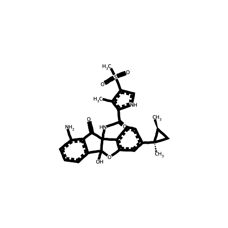 Cc1c(S(C)(=O)=O)c[nH]c1C(=O)NC12C(=O)c3c(N)cccc3C1(O)Oc1cc([C@]3(C)C[C@@H]3C)ccc12